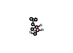 N#CC1=Cc2c(n(-c3ccccc3-c3ccc(C#N)cc3-c3cccc(-n4c5ccccc5c5ccccc54)c3)c3c(C#N)cccc23)CC1